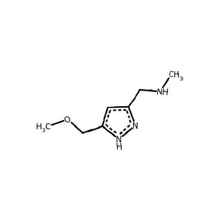 CNCc1cc(COC)[nH]n1